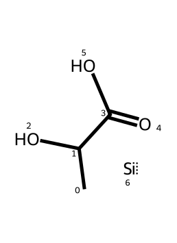 CC(O)C(=O)O.[Si]